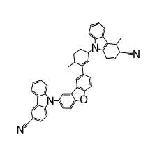 CC1CCC(n2c3c(c4ccccc42)C(C)C(C#N)C=C3)C=C1c1ccc2oc3ccc(-n4c5ccccc5c5cc(C#N)ccc54)cc3c2c1